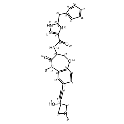 CN1CC(O)(C#Cc2ccc3c(c2)N(C)C(=O)C(NC(=O)c2n[nH]c(Cc4ccccc4)n2)CO3)C1